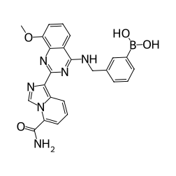 COc1cccc2c(NCc3cccc(B(O)O)c3)nc(-c3ncn4c(C(N)=O)cccc34)nc12